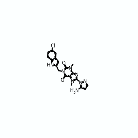 Cn1c(-n2nccc2N)nc2c1c(=O)n(Cc1cc3cc(Cl)ccc3[nH]1)c(=O)n2C